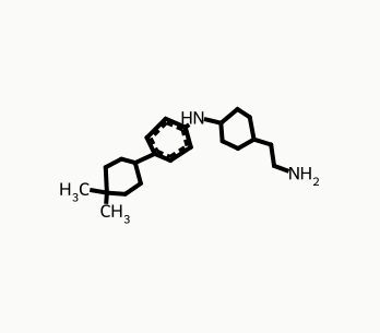 CC1(C)CCC(c2ccc(NC3CCC(CCN)CC3)cc2)CC1